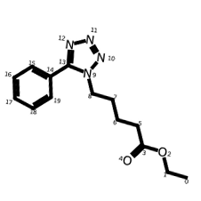 CCOC(=O)CCCCn1nnnc1-c1ccccc1